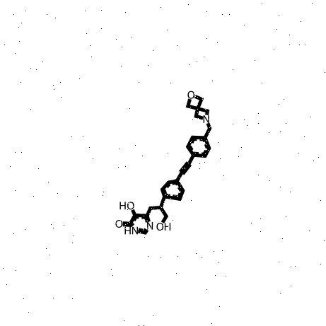 O=c1[nH]cnc(CC(CO)c2ccc(C#Cc3ccc(CN4CC5(COC5)C4)cc3)cc2)c1O